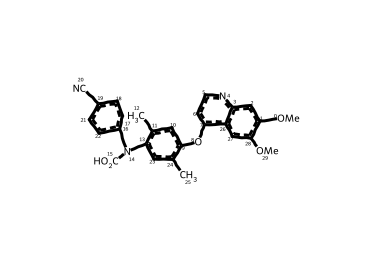 COc1cc2nccc(Oc3cc(C)c(N(C(=O)O)c4ccc(C#N)cc4)cc3C)c2cc1OC